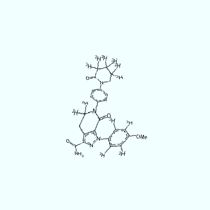 [2H]c1c([2H])c(-n2nc(C(N)=O)c3c2C(=O)N(c2ccc(N4CC([2H])([2H])C([2H])([2H])C([2H])([2H])C4=O)cc2)C([2H])([2H])C3)c([2H])c([2H])c1OC